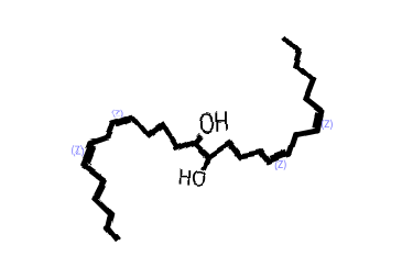 CCCCC/C=C\C/C=C\CCCC(O)C(O)CCC/C=C\C/C=C\CCCCC